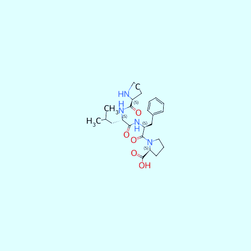 CC(C)C[C@H](NC(=O)[C@@H]1CCCN1)C(=O)N[C@@H](Cc1ccccc1)C(=O)N1CCC[C@H]1C(=O)O